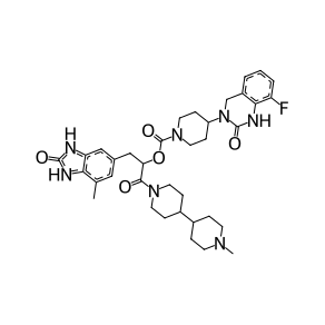 Cc1cc(CC(OC(=O)N2CCC(N3Cc4cccc(F)c4NC3=O)CC2)C(=O)N2CCC(C3CCN(C)CC3)CC2)cc2[nH]c(=O)[nH]c12